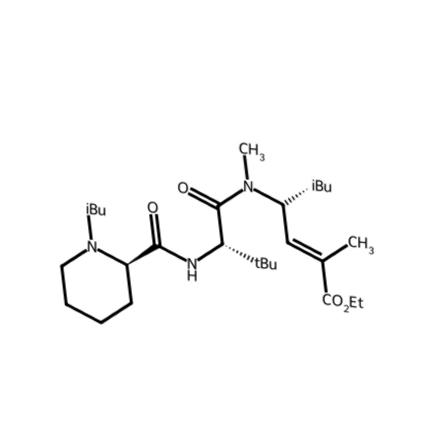 CCOC(=O)/C(C)=C/C([C@@H](C)CC)N(C)C(=O)[C@@H](NC(=O)[C@H]1CCCCN1C(C)CC)C(C)(C)C